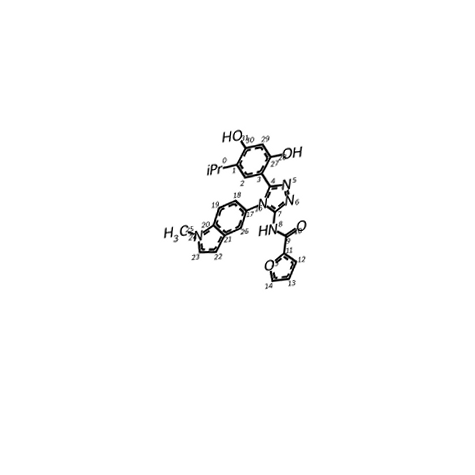 CC(C)c1cc(-c2nnc(NC(=O)c3ccco3)n2-c2ccc3c(ccn3C)c2)c(O)cc1O